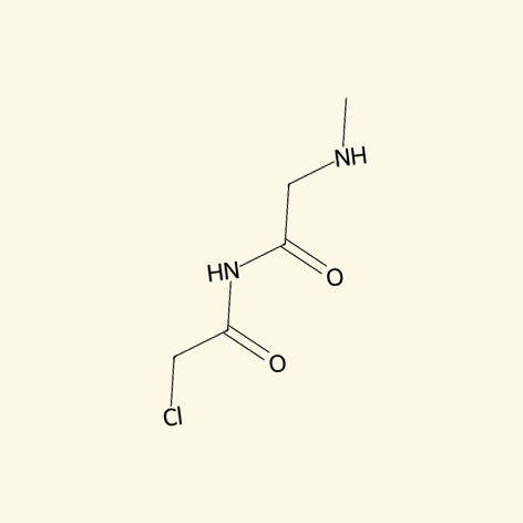 CNCC(=O)NC(=O)CCl